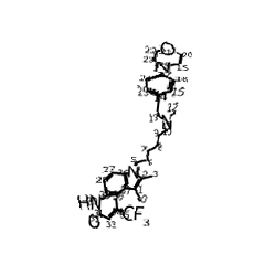 Cc1c(C)n(CCCCCCN(C)Cc2ccc(N3CCOCC3)cc2)c2ccc3[nH]c(=O)cc(C(F)(F)F)c3c12